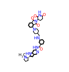 CN1CCC[C@@H]1c1cc2cnc(NC(=O)c3cccc(NCC4CCN(c5cccc6c5C(=O)N(C5CCC(=O)NC5=O)C6=O)CC4)c3)cc2[nH]1